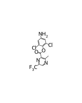 Cc1ncc(C(F)(F)F)nc1C(=O)Oc1c(Cl)cc(N)cc1Cl